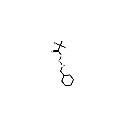 O=C(ONNCC1CCCCC1)C(F)(F)F